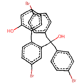 Oc1ccccc1-c1ccc(Br)cc1C(O)(c1ccc(Br)cc1)c1ccc(Br)cc1